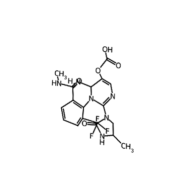 CNC(=O)c1cccc(C(F)(F)F)c1N1C(N2CC(C)NC2=O)=NC=C(OC(=O)O)C1N